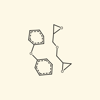 C(OCC1CO1)C1CO1.c1ccc(Oc2ccccc2)cc1